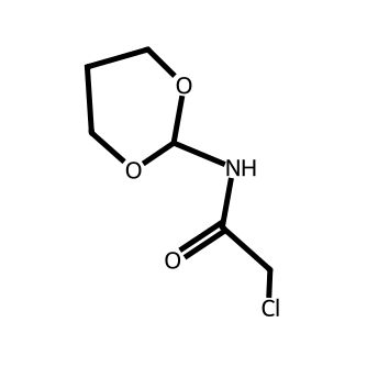 O=C(CCl)NC1OCCCO1